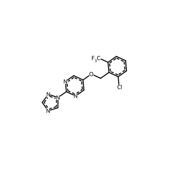 FC(F)(F)c1cccc(Cl)c1COc1cnc(-n2cncn2)nc1